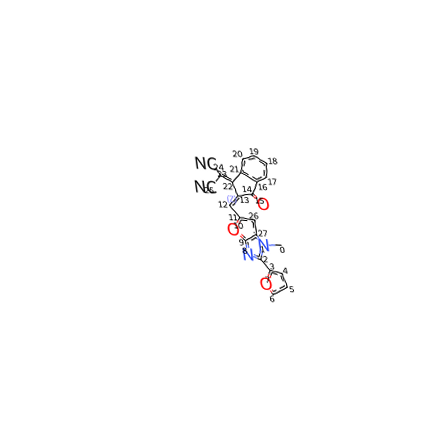 Cn1c(-c2ccco2)nc2oc(/C=C3\C(=O)c4ccccc4C3=C(C#N)C#N)cc21